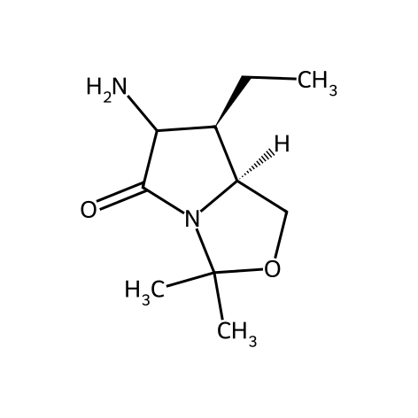 CC[C@@H]1C(N)C(=O)N2[C@@H]1COC2(C)C